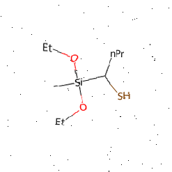 CCCC(S)[Si](C)(OCC)OCC